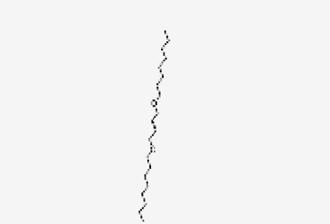 CCCCCCCCOCC=CCOCCCCCCCC